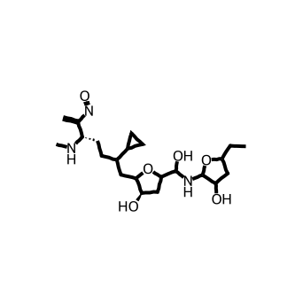 C=C(N=O)[C@H](CCC(CC1OC(C(O)NC2OC(CC)CC2O)C[C@H]1O)C1CC1)NC